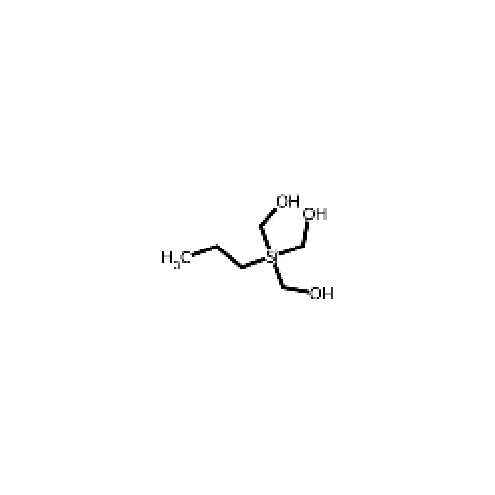 CCC[Si](CO)(CO)CO